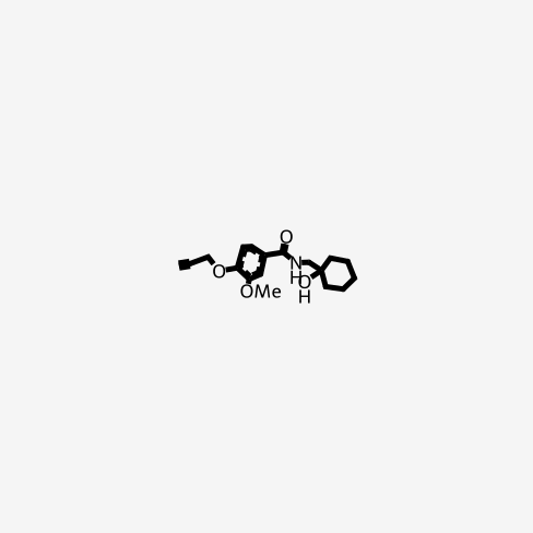 C#CCOc1ccc(C(=O)NCC2(O)CCCCC2)cc1OC